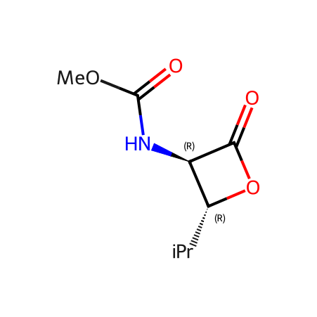 COC(=O)N[C@H]1C(=O)O[C@@H]1C(C)C